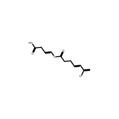 C=C(Cl)C=CCCC(=O)OC=CCC(=O)O